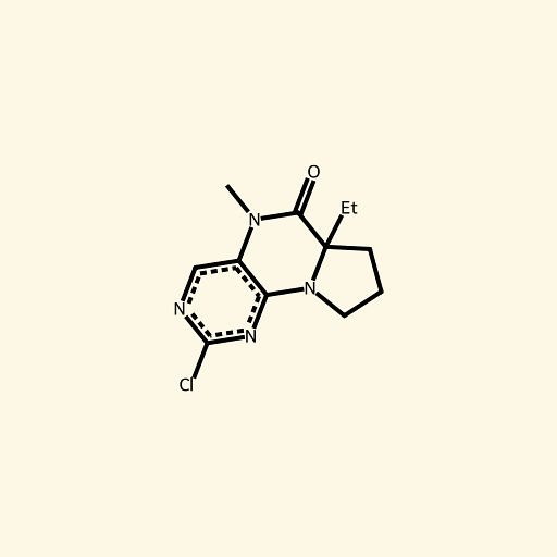 CCC12CCCN1c1nc(Cl)ncc1N(C)C2=O